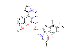 COc1cccc(C2c3cccn3CCN2C(=O)COCCN(CC(C)C)S(=O)(=O)c2c(C)cc(OC)c(C)c2C)c1